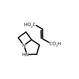 C1CC2CCN2N1.O=C(O)/C=C/C(=O)O